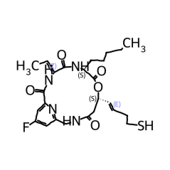 C/C=C1\NC(=O)c2cc(F)cc(n2)CNC(=O)C[C@@H](/C=C/CCS)OC(=O)[C@H](CCCCC)NC1=O